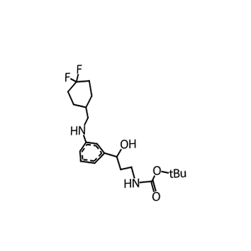 CC(C)(C)OC(=O)NCCC(O)c1cccc(NCC2CCC(F)(F)CC2)c1